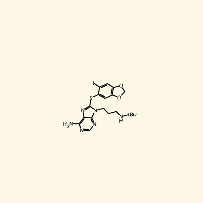 CC(C)(C)NCCCn1c(Sc2cc3c(cc2I)OCO3)nc2c(N)ncnc21